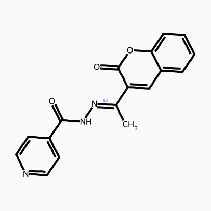 C/C(=N\NC(=O)c1ccncc1)c1cc2ccccc2oc1=O